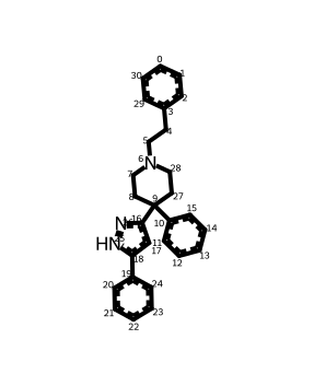 c1ccc(CCN2CCC(c3ccccc3)(c3cc(-c4ccccc4)[nH]n3)CC2)cc1